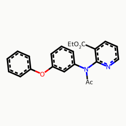 CCOC(=O)c1cccnc1N(C(C)=O)c1cccc(Oc2ccccc2)c1